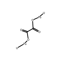 O=C([O][Pu][U])C(=O)[O][Pu][U]